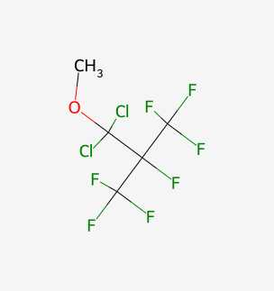 COC(Cl)(Cl)C(F)(C(F)(F)F)C(F)(F)F